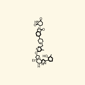 CC[C@]12CNc3nnc(-c4cccc(C)c4O)cc3N1C[C@H](Oc1cc(C)c(CN3CCC(c4ccc5c(c4)C(=O)N([C@H]4CCC(=O)NC4=O)C5)CC3)cn1)C2